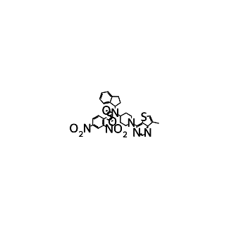 Cc1csc2c(N3CCC(N(C4CCc5ccccc54)S(=O)(=O)c4ccc([N+](=O)[O-])cc4[N+](=O)[O-])CC3)ncnc12